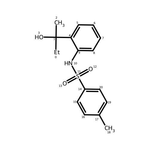 CCC(C)(O)c1ccccc1NS(=O)(=O)c1ccc(C)cc1